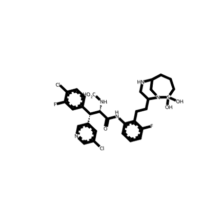 O=C(O)N[C@H](C(=O)Nc1cccc(F)c1CCC1CNC2CCCS(O)(O)N1C2)[C@H](c1cncc(Cl)c1)c1ccc(Cl)c(F)c1